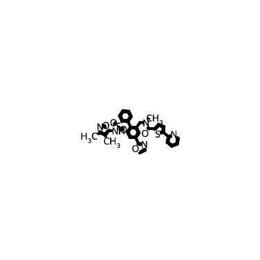 Cc1noc(NS(=O)(=O)c2ccccc2-c2ccc(-c3ncco3)cc2CN(C)C(=O)c2ccc(-c3ccccn3)s2)c1C